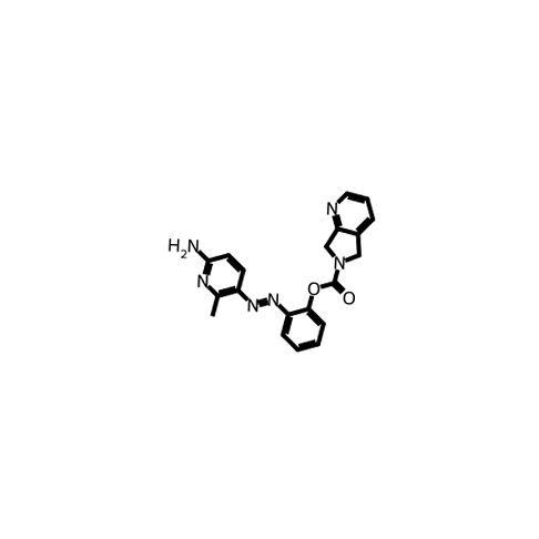 Cc1nc(N)ccc1/N=N/c1ccccc1OC(=O)N1Cc2cccnc2C1